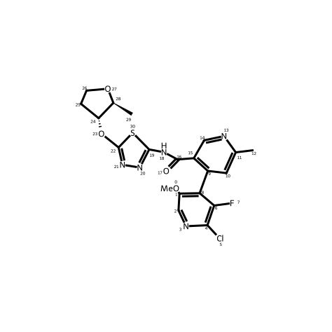 COc1cnc(Cl)c(F)c1-c1cc(C)ncc1C(=O)Nc1nnc(O[C@@H]2CCO[C@H]2C)s1